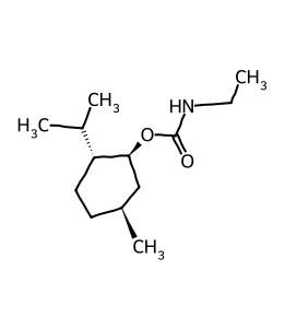 CCNC(=O)O[C@H]1C[C@@H](C)CC[C@@H]1C(C)C